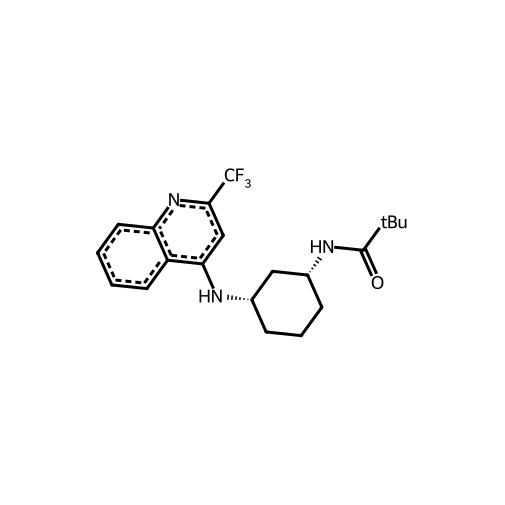 CC(C)(C)C(=O)N[C@@H]1CCC[C@H](Nc2cc(C(F)(F)F)nc3ccccc23)C1